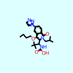 CCCCOc1c(C(NC(=O)O)C(C)(C)C)n(CC(C)C)c(=O)c2ccc(-n3ccnn3)cc12